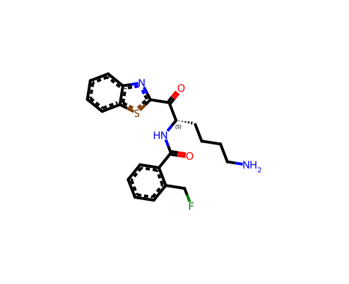 NCCCC[C@H](NC(=O)c1ccccc1CF)C(=O)c1nc2ccccc2s1